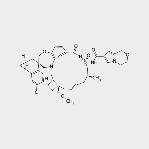 CO[C@H]1/C=C/C[C@H](C)C[S@@](=O)(NC(=O)c2cc3n(c2)CCOC3)=NC(=O)c2ccc3c(c2)N(C[C@@H]2CC[C@H]21)C[C@]1(CO3)C[C@@H]2C[C@@H]2c2cc(Cl)ccc21